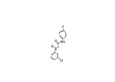 O=C(C[S@@+]([O-])c1cccc(Cl)c1)Nc1ccc(F)cc1